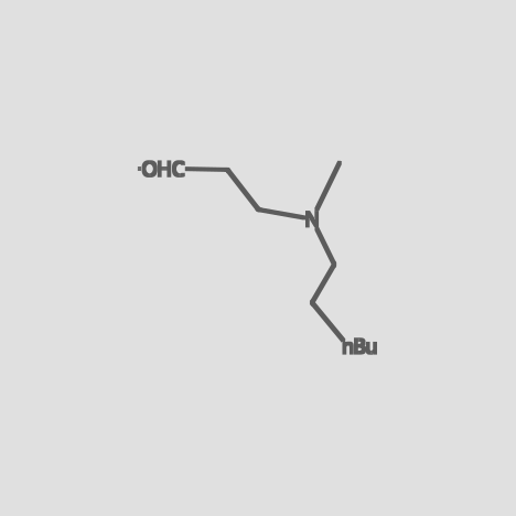 CCCCCCN(C)CC[C]=O